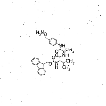 CC(C)C(NC(=O)OCC1c2ccccc2-c2ccccc21)C(=O)N[C@@H](C)C(=O)Nc1ccc(CON)cc1